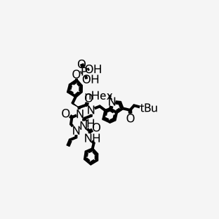 C=CCN1CC(=O)N2[C@@H](Cc3ccc(OP(=O)(O)O)cc3)C(=O)N(Cc3cccc4c(C(=O)CC(C)(C)C)cn(CCCCCC)c34)C[C@@H]2N1C(=O)NCc1ccccc1